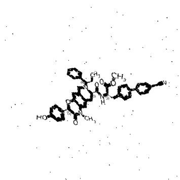 CC[C@H](c1ccccc1)N1Cc2cc3c(cc2C[C@H]1C(=O)N[C@@H](Cc1ccc(-c2ccc(C#N)cc2)cc1)C(=O)OC)N(C)C(=O)[C@H](c1ccc(O)cc1)O3